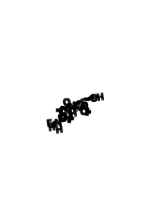 Cc1cc(C(=O)NCC(CSCCCO)NC(=O)OC(C)(C)C)nc2c(C(C)(C)C)cc(NCC(F)(F)F)cc12